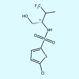 CC([C@@H](CO)NS(=O)(=O)c1ccc(Cl)s1)C(F)(F)F